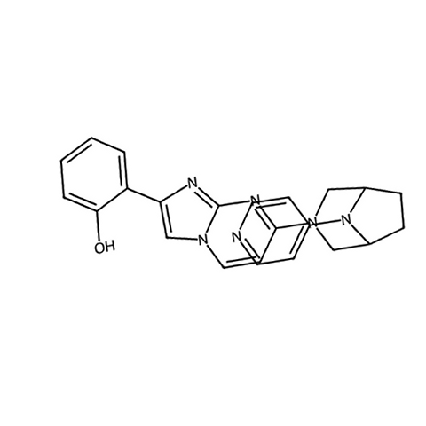 Oc1ccccc1-c1cn2ccc(N3CC4CCC(C3)N4c3ccncc3)nc2n1